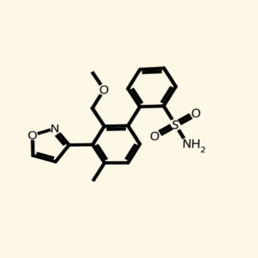 COCc1c(-c2ccccc2S(N)(=O)=O)ccc(C)c1-c1ccon1